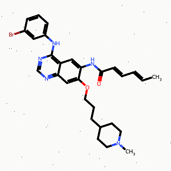 CC=CC=CC(=O)Nc1cc2c(Nc3cccc(Br)c3)ncnc2cc1OCCCC1CCN(C)CC1